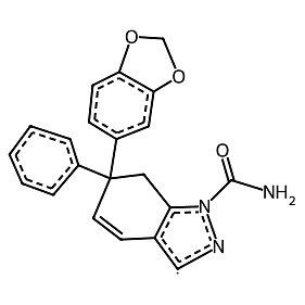 NC(=O)n1n[c]c2c1CC(c1ccccc1)(c1ccc3c(c1)OCO3)C=C2